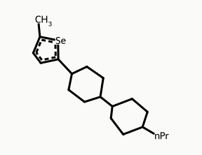 CCCC1CCC(C2CCC(c3ccc(C)[se]3)CC2)CC1